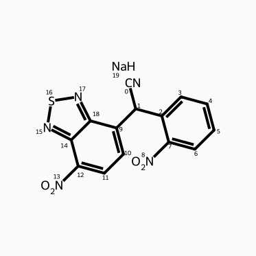 N#CC(c1ccccc1[N+](=O)[O-])c1ccc([N+](=O)[O-])c2nsnc12.[NaH]